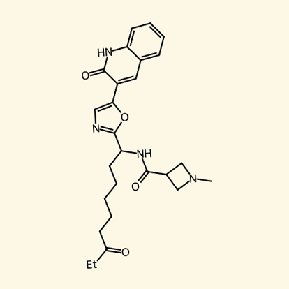 CCC(=O)CCCCCC(NC(=O)C1CN(C)C1)c1ncc(-c2cc3ccccc3[nH]c2=O)o1